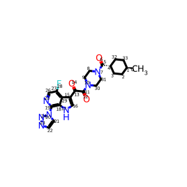 C[C@H]1CC[C@H](C(=O)N2CCN(C(=O)C(=O)c3c[nH]c4c(-n5ccnn5)ncc(F)c34)CC2)CC1